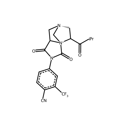 CC(C)C(=O)C1C[N@@]2CC3C(=O)N(c4ccc(C#N)c(C(F)(F)F)c4)C(=O)[N+]13C2